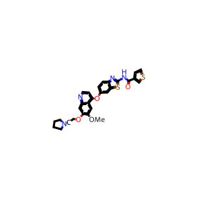 COc1cc2c(Oc3ccc4nc(NC(=O)c5ccsc5)sc4c3)ccnc2cc1OCCN1CCCC1